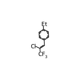 CCc1ccc(C=C(Cl)C(F)(F)F)cc1